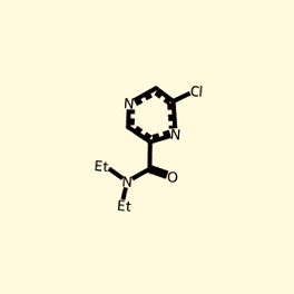 CCN(CC)C(=O)c1cncc(Cl)n1